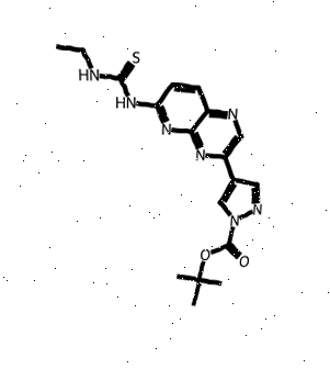 CCNC(=S)Nc1ccc2ncc(-c3cnn(C(=O)OC(C)(C)C)c3)nc2n1